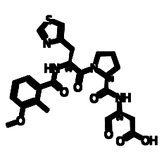 COc1cccc(C(=O)N[C@@H](Cc2cscn2)C(=O)N2CCC[C@H]2C(=O)N[C@H](C=O)CC(=O)O)c1C